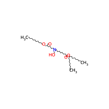 CCCCCCCCCCCOCC(C=O)CCCCN(CCO)CCCCCCCC(=O)OC(CCCCCCCC)CCCCCCCC